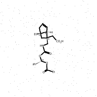 CCC(=O)O[C@@H](OC(=O)NC[C@@]1(CC(=O)O)C[C@]2(CC)CC=C[C@H]21)C(C)C